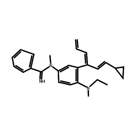 C=C/C=C(/C=C/C1CC1)c1cc(N(C)C(=N)c2ccccc2)ccc1N(C)CC